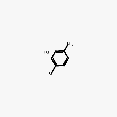 Cl.Nc1ccc(Cl)cc1